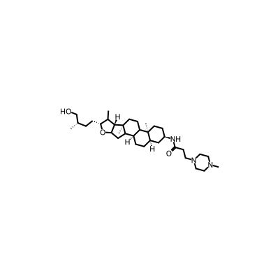 CC1[C@H]2C(CC3[C@@H]4CC[C@@H]5C[C@H](NC(=O)CCN6CCN(C)CC6)CC[C@]5(C)C4CC[C@@]32C)O[C@@H]1CC[C@H](C)CO